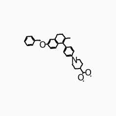 COC(OC)C1CCN(c2ccc(C3=C(C)CCc4cc(OCc5ccccc5)ccc43)cc2)CC1